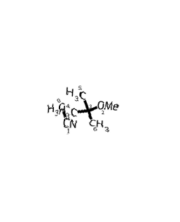 CC#N.COC(C)(C)C